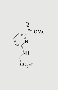 CCOC(=O)CNc1cccc(C(=O)OC)n1